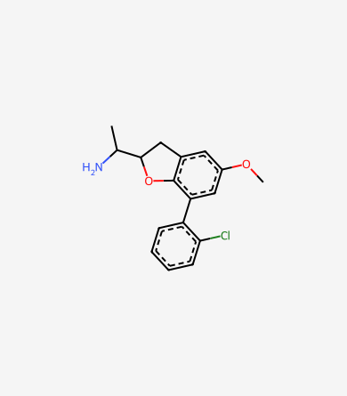 COc1cc2c(c(-c3ccccc3Cl)c1)OC(C(C)N)C2